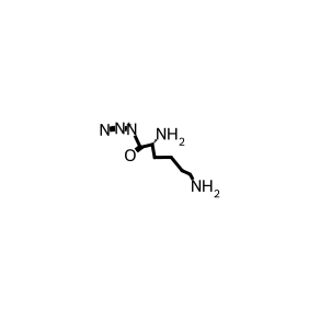 [N-]=[N+]=NC(=O)[C@H](N)CCCCN